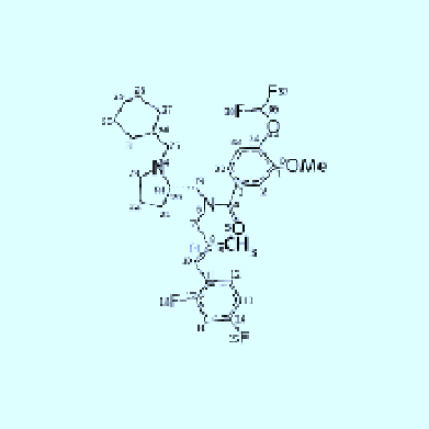 COc1cc(C(=O)N(C/C(C)=C/c2ccc(F)cc2F)C[C@@H]2CCCN2CC2CCCCC2)ccc1OC(F)F